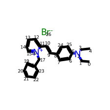 CCN(CC)c1ccc(/C=C/c2cccc[n+]2Cc2ccccc2)cc1.[Br-]